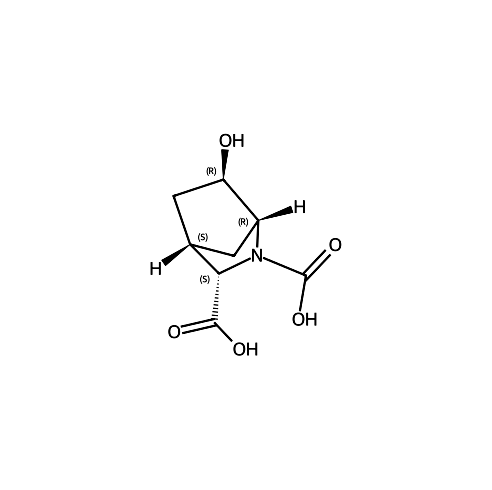 O=C(O)[C@@H]1[C@@H]2C[C@@H](O)[C@@H](C2)N1C(=O)O